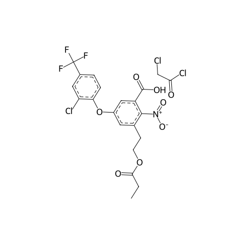 CCC(=O)OCCc1cc(Oc2ccc(C(F)(F)F)cc2Cl)cc(C(=O)O)c1[N+](=O)[O-].O=C(Cl)CCl